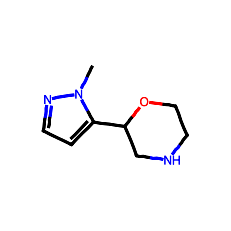 Cn1nccc1C1CNCCO1